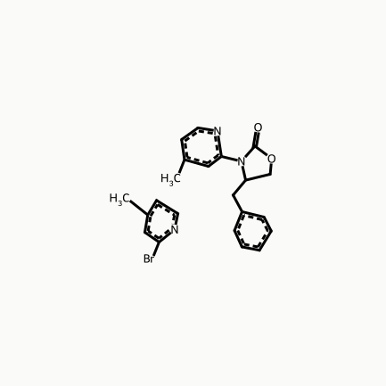 Cc1ccnc(Br)c1.Cc1ccnc(N2C(=O)OCC2Cc2ccccc2)c1